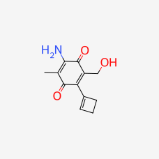 CC1=C(N)C(=O)C(CO)=C(C2=CCC2)C1=O